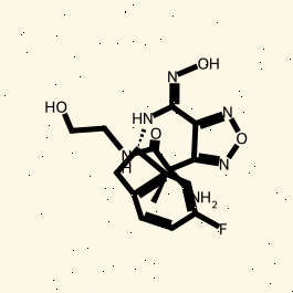 C[C@@](N)(C(=O)NCCO)c1nonc1/C(=N\O)N[C@H]1Cc2ccc(F)cc21